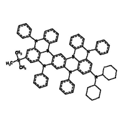 C[Si](C)(C)c1cc2c3c(c1)N(c1ccccc1)c1cc4c(cc1B3c1ccccc1N2c1ccccc1)B1c2ccccc2N(c2ccccc2)c2cc(N(C3CCCCC3)C3CCCCC3)cc(c21)N4c1ccccc1